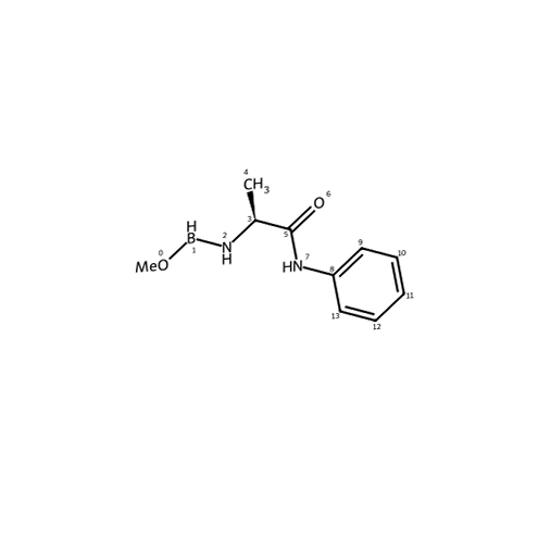 COBN[C@@H](C)C(=O)Nc1ccccc1